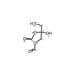 CCC(O)(COC=O)OC=O